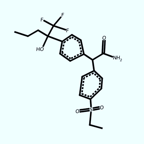 CCCC(O)(c1ccc(C(C(N)=O)c2ccc(S(=O)(=O)CC)cc2)cc1)C(F)(F)F